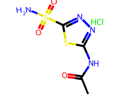 CC(=O)Nc1nnc(S(N)(=O)=O)s1.Cl